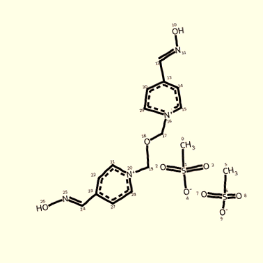 CS(=O)(=O)[O-].CS(=O)(=O)[O-].ON=Cc1cc[n+](COC[n+]2ccc(C=NO)cc2)cc1